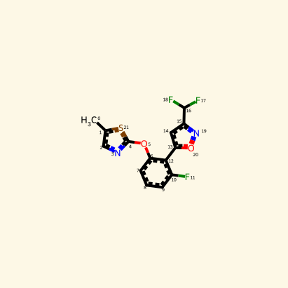 Cc1cnc(Oc2cccc(F)c2-c2cc(C(F)F)no2)s1